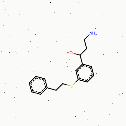 NCCC(O)c1cccc(SCCc2ccccc2)c1